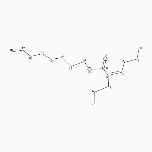 CCCC=C(CCC)C(=O)OCCCCCCCC